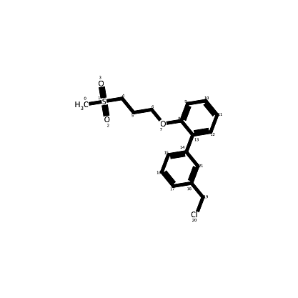 CS(=O)(=O)CCCOc1ccccc1-c1cccc(CCl)c1